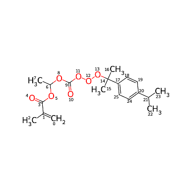 C=C(C)C(=O)OC(C)OC(=O)OOOC(C)(C)c1ccc(C(C)C)cc1